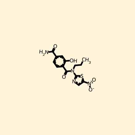 CCCN(C(=O)c1ccc(C(N)=O)cc1O)c1ncc([N+](=O)[O-])s1